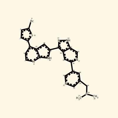 CC(=O)c1ccc(-c2ccnc3[nH]c(-c4n[nH]c5cnc(-c6cncc(CN(C)C)c6)cc45)cc23)s1